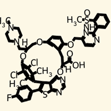 Cc1c(Cl)c2c(Cl)c(C)c1-c1c(-c3ccc(F)cc3)sc3ncnc(c13)O[C@@H](C(=O)O)Cc1cc(ccc1OCc1ccnc(-c3ccccc3S(C)(=N)=O)n1)OC[C@@H](CN1CCN(C)CC1)O2